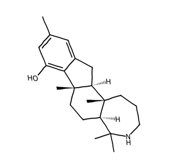 Cc1cc(O)c2c(c1)C[C@H]1[C@]3(C)CCCNC(C)(C)[C@H]3CC[C@]21C